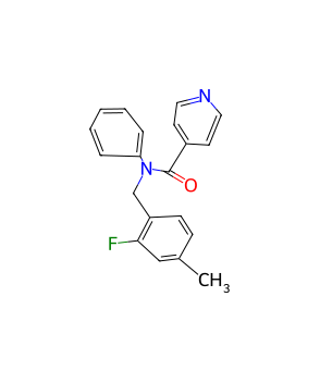 Cc1ccc(CN(C(=O)c2ccncc2)c2ccccc2)c(F)c1